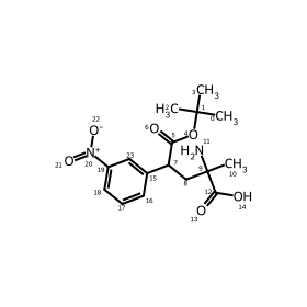 CC(C)(C)OC(=O)C(CC(C)(N)C(=O)O)c1cccc([N+](=O)[O-])c1